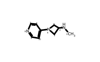 CNC1CN(c2ccncc2)C1